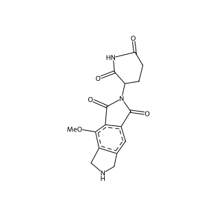 COc1c2c(cc3c1C(=O)N(C1CCC(=O)NC1=O)C3=O)CNC2